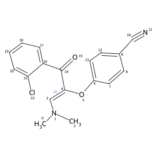 CN(C)/C=C(\Oc1ccc(C#N)cc1)C(=O)c1ccccc1Cl